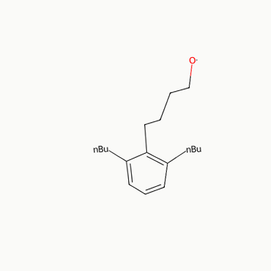 CCCCc1cccc(CCCC)c1CCCC[O]